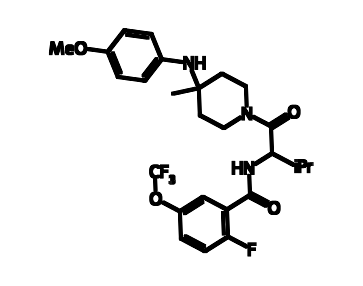 COc1ccc(NC2(C)CCN(C(=O)C(NC(=O)c3cc(OC(F)(F)F)ccc3F)C(C)C)CC2)cc1